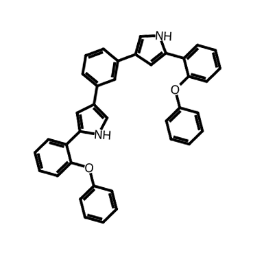 c1ccc(Oc2ccccc2-c2cc(-c3cccc(-c4c[nH]c(-c5ccccc5Oc5ccccc5)c4)c3)c[nH]2)cc1